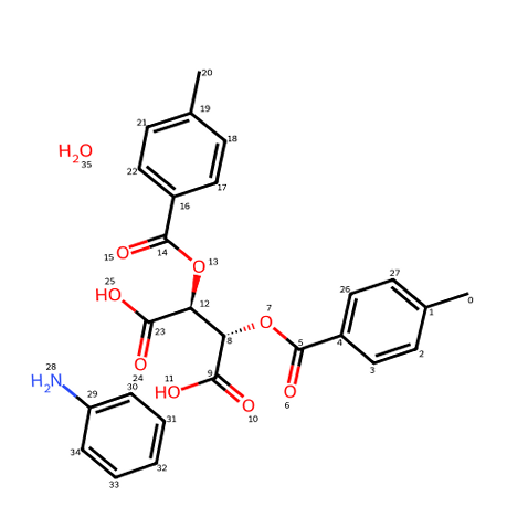 Cc1ccc(C(=O)O[C@H](C(=O)O)[C@H](OC(=O)c2ccc(C)cc2)C(=O)O)cc1.Nc1ccccc1.O